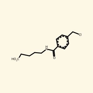 O=C(O)CCCCNC(=O)c1ccc(CCl)cc1